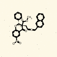 COC(=O)[C@]1(CC=C=Cc2ccc3ccccc3c2)C(=O)c2cc([N+](=O)[O-])ccc2O[C@@H]1c1ccccc1